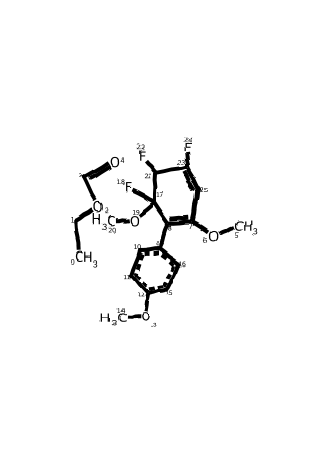 CCOC=O.COC1=C(c2ccc(OC)cc2)C(F)(OC)C(F)C(F)=C1